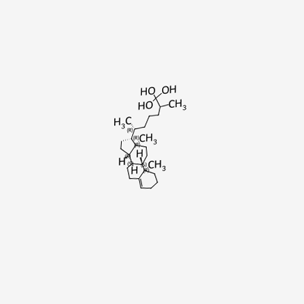 CC(CCC[C@@H](C)[C@H]1CC[C@H]2[C@@H]3CCC4=CCCC[C@]4(C)[C@H]3CC[C@]12C)C(O)(O)O